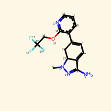 CN1N=C(N)C2=CC=C(c3cccnc3OCC(F)(F)F)CC21